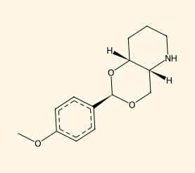 COc1ccc([C@@H]2OC[C@H]3NCCC[C@H]3O2)cc1